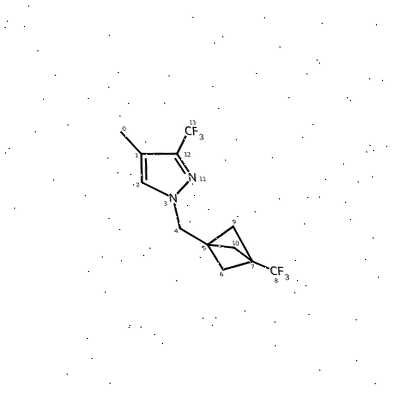 Cc1cn(CC23CC(C(F)(F)F)(C2)C3)nc1C(F)(F)F